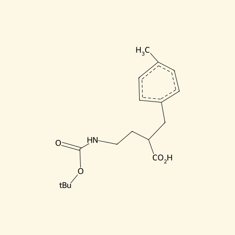 Cc1ccc(CC(CCNC(=O)OC(C)(C)C)C(=O)O)cc1